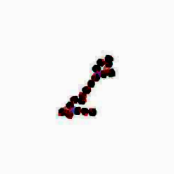 c1ccc(-c2ccc(-c3ccc(N(c4cccc(-c5cccc(-c6cccc7cc(-c8ccc(-c9ccc(-c%10ccc(N(c%11cccc(-c%12cccc(-c%13cccc%14ccccc%13%14)c%12)c%11)c%11ccc%12c(c%11)oc%11ccccc%11%12)cc%10)cc9)cc8)ccc67)c5)c4)c4cccc5c4oc4ccccc45)cc3)cc2)cc1